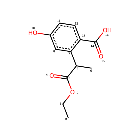 CCOC(=O)C(C)c1cc(O)ccc1C(=O)O